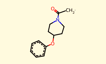 [CH2]C(=O)N1CCC(Oc2ccccc2)CC1